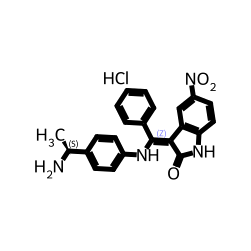 C[C@H](N)c1ccc(N/C(=C2\C(=O)Nc3ccc([N+](=O)[O-])cc32)c2ccccc2)cc1.Cl